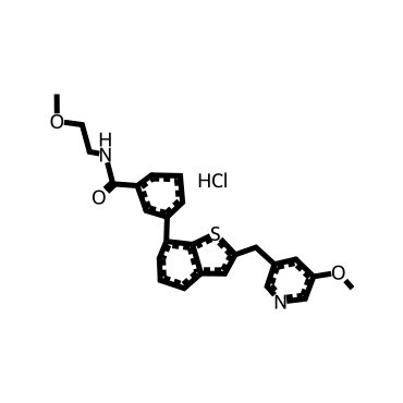 COCCNC(=O)c1cccc(-c2cccc3cc(Cc4cncc(OC)c4)sc23)c1.Cl